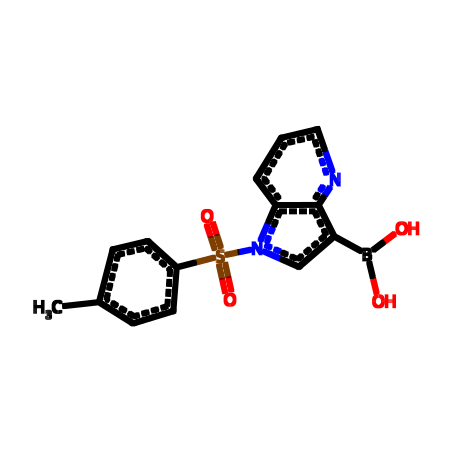 Cc1ccc(S(=O)(=O)n2cc(B(O)O)c3ncccc32)cc1